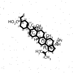 C=C(C)[C@@H]1CC[C@]2(NCCC)CC[C@]3(C)[C@H](CC[C@@H]4[C@@]5(C)CC=C(C6=CC[C@@](CF)(C(=O)O)CC6)C(C)(C)[C@@H]5CC[C@]43C)[C@@H]12